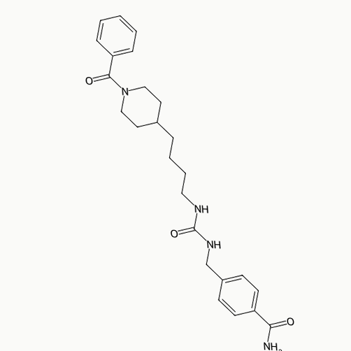 NC(=O)c1ccc(CNC(=O)NCCCCC2CCN(C(=O)c3ccccc3)CC2)cc1